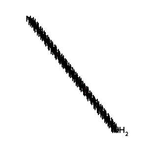 N#I(I)\N=N/N=N\N=N/N=N\N=N/N=N\N=N/N=N\N=N/N=N\N=N/N=N\N=N/N=N\N=N/N=N\N=N/N=N\N=N/N=N\N=N/N=N\N=N/N=N\N=N/N=N\N=N/N=N\N=N/N=N\N=N/N=N\N=N/N=N\N=N/N=N\N=N/N=N\N=N/N=N\N=N/N=N\N=N/N=N\N=N/N=N\N=N/N=N\N